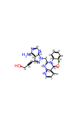 Cc1ccnc2nc(Cn3nc(C#CCO)c4c(N)ncnc43)n(-c3ccccc3F)c(=O)c12